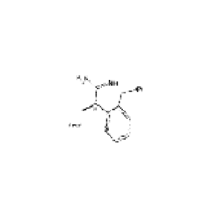 CC(C)Cc1ccccc1[C@@H](C)C(=N)N.Cl